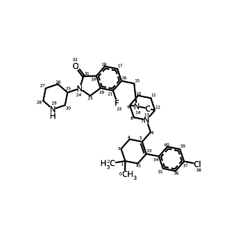 CC1(C)CCC(CN2CC3CCC2CN3Cc2ccc3c(c2F)CN(C2CCCNC2)C3=O)=C(c2ccc(Cl)cc2)C1